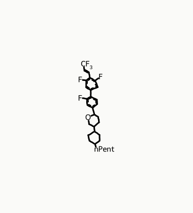 CCCCCC1CCC(C2CCC(c3ccc(-c4cc(F)c(/C=C/C(F)(F)F)c(F)c4)c(F)c3)OC2)CC1